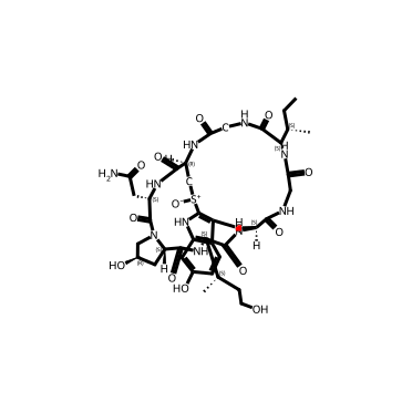 CC[C@H](C)[C@@H]1NC(=O)CNC(=O)[C@@H]2Cc3c([nH]c4cc(O)ccc34)[S+]([O-])C[C@H](NC(=O)CNC1=O)C(=O)N[C@@H](CC(N)=O)C(=O)N1C[C@H](O)C[C@H]1C(=O)N[C@@H]([C@@H](C)CCO)C(=O)N2